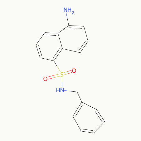 Nc1cccc2c(S(=O)(=O)NCc3ccccc3)cccc12